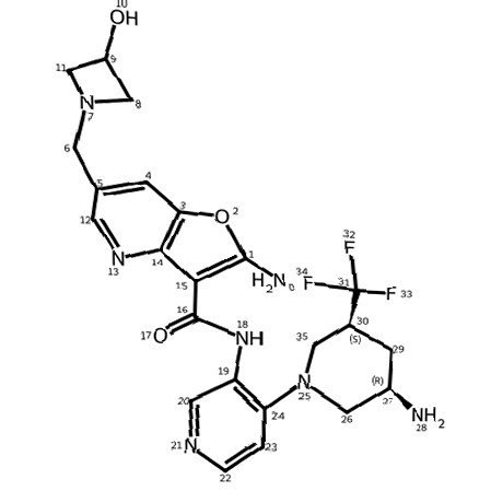 Nc1oc2cc(CN3CC(O)C3)cnc2c1C(=O)Nc1cnccc1N1C[C@H](N)C[C@H](C(F)(F)F)C1